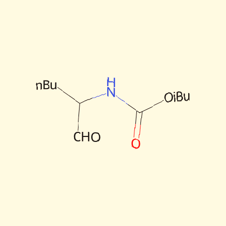 CCCCC(C=O)NC(=O)OCC(C)C